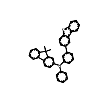 CC1(C)c2ccccc2-c2ccc(N(c3ccccc3)c3cccc(-c4ccc5oc6ccccc6c5c4)c3)cc21